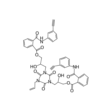 C#Cc1cccc(NC(=O)c2ccccc2C(=O)OCC(O)Cn2c(=O)n(CC=C)c(=O)n(CC(O)COC(=O)c3ccccc3C(=O)Nc3cccc(C#C)c3)c2=O)c1